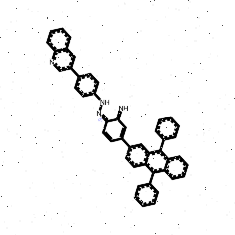 N=C1C=C(c2ccc3c(-c4ccccc4)c4ccccc4c(-c4ccccc4)c3c2)C=C/C1=N/Nc1ccc(-c2cnc3ccccc3c2)cc1